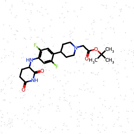 CC(C)(C)OC(=O)CN1CCC(c2cc(F)c(NC3CCC(=O)NC3=O)cc2F)CC1